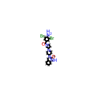 Nc1c(Br)cc(C(=O)N2CC[C@@H](N3CCC(N4Cc5ccccc5NC4=O)CC3)C2)cc1Br